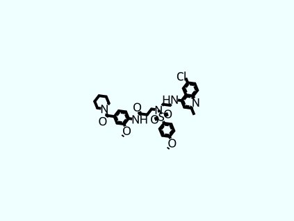 COc1ccc(S(=O)(=O)N(CCNc2cc(C)nc3ccc(Cl)cc23)CCC(=O)Nc2ccc(C(=O)N3CCCCC3)cc2OC)cc1